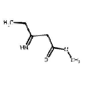 CCC(=N)CC(=O)OC